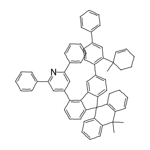 CC1(c2cc(-c3ccccc3)ccc2-c2ccc3c(c2)-c2c(-c4cc(-c5ccccc5)nc(-c5ccccc5)c4)cccc2C32C3=C(C=CCC3)C(C)(C)c3ccccc32)C=CCCC1